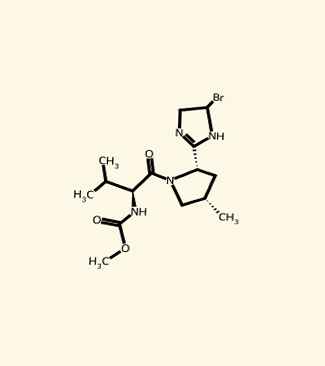 COC(=O)N[C@H](C(=O)N1C[C@@H](C)C[C@H]1C1=NCC(Br)N1)C(C)C